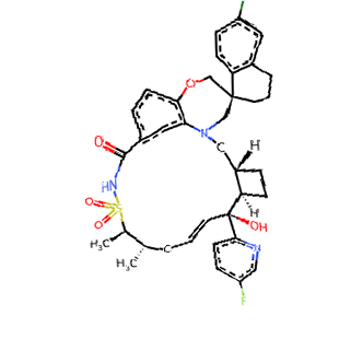 C[C@@H]1[C@@H](C)C/C=C/[C@@](O)(c2ccc(F)cn2)[C@@H]2CC[C@H]2CN2C[C@@]3(CCCc4cc(Cl)ccc43)COc3ccc(cc32)C(=O)NS1(=O)=O